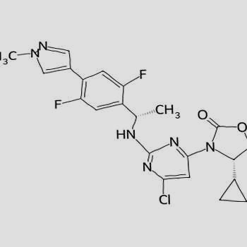 C[C@H](Nc1nc(Cl)cc(N2C(=O)OC[C@@H]2C2CC2)n1)c1cc(F)c(-c2cnn(C)c2)cc1F